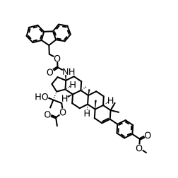 COC(=O)c1ccc(C2=CC[C@]3(C)[C@H]4CC[C@@H]5[C@H]6[C@H](C(C)(O)COC(C)=O)CC[C@]6(NC(=O)OCC6c7ccccc7-c7ccccc76)CC[C@@]5(C)[C@]4(C)CC[C@H]3C2(C)C)cc1